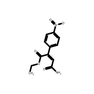 CCOC(=O)/C(=C\C(N)=O)c1ccc([N+](=O)[O-])cc1